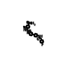 COc1cc(C(N)=O)ccc1Nc1nc2ccc(-c3ccc(NC(=O)Cc4ccc(F)cc4)cc3)cn2n1